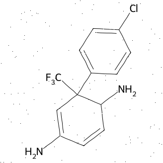 NC1=CC(c2ccc(Cl)cc2)(C(F)(F)F)C(N)C=C1